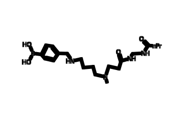 CCCC(=O)NCNC(=O)CCN(C)CCCCNCc1ccc(B(O)O)cc1